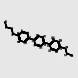 CCCCc1ccc(-c2ccc(-c3ccc(CCC)cn3)cc2)cc1